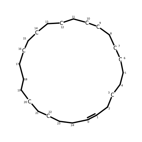 [C]1=C\CCCCCCCCCCCCCCCCCCCCCCC/1